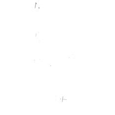 O=C(OC12CCN(CC1)CC2)C(O)(c1ccccc1)C1CCCCC1